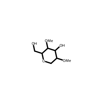 COC1COC(CO)C(OC)C1O